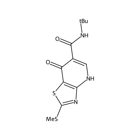 CSc1nc2[nH]cc(C(=O)NC(C)(C)C)c(=O)c2s1